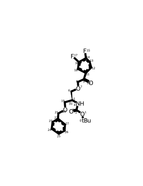 CC(C)(C)OC(=O)N[C@H](COCC(=O)c1ccc(F)c(F)c1)COCc1ccccc1